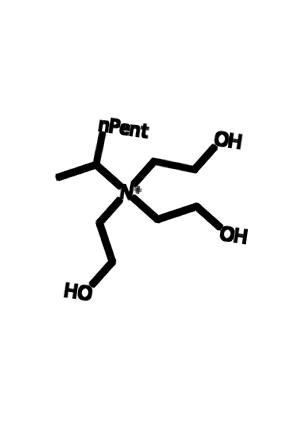 CCCCCC(C)[N+](CCO)(CCO)CCO